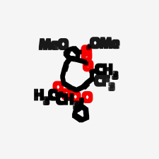 COCOc1cc(OC)cc2c1C(=O)OC(C)C(C(F)(F)F)/C=C\C(OC(=O)c1ccccc1)C1OC(C)(C)OC1C/C=C/2